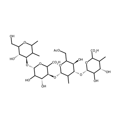 CC(=O)OCC1O[C@@H](O[C@@H]2C(C(=O)O)O[C@@H](O[C@@H]3C(C)C(C)OC(CO)[C@H]3O)C(O)[C@H]2O)C(C)[C@@H](O[C@@H]2OC(C(=O)O)C(C)[C@H](O)C2O)[C@@H]1O